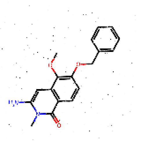 COc1c(OCc2ccccc2)ccc2c(=O)n(C)c(N)cc12